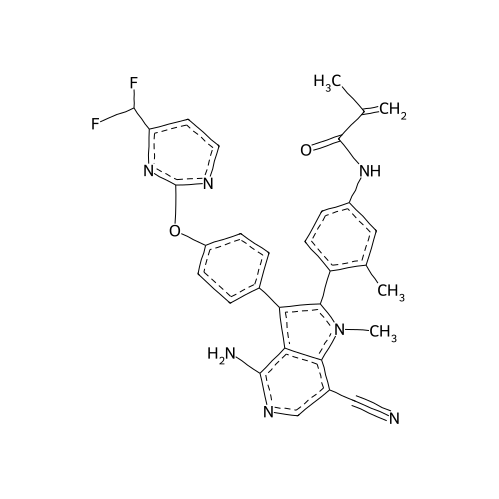 C=C(C)C(=O)Nc1ccc(-c2c(-c3ccc(Oc4nccc(C(F)F)n4)cc3)c3c(N)ncc(C#N)c3n2C)c(C)c1